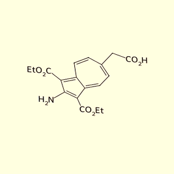 CCOC(=O)c1c2ccc(CC(=O)O)ccc-2c(C(=O)OCC)c1N